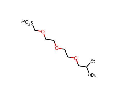 CCCCC(CC)COCCOCCOCS(=O)(=O)O